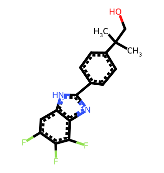 CC(C)(CO)c1ccc(-c2nc3c(F)c(F)c(F)cc3[nH]2)cc1